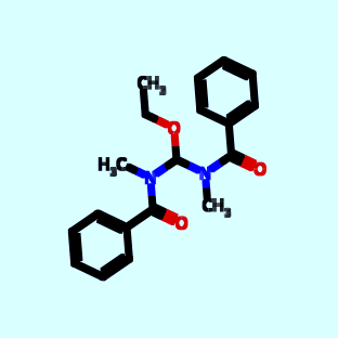 CCO[C](N(C)C(=O)c1ccccc1)N(C)C(=O)c1ccccc1